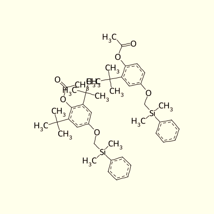 CC(=O)Oc1c(C(C)(C)C)cc(OC[Si](C)(C)c2ccccc2)cc1C(C)(C)C.CC(=O)Oc1ccc(OC[Si](C)(C)c2ccccc2)cc1C(C)(C)C